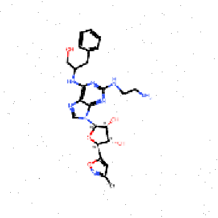 CCc1cc([C@H]2O[C@@H](n3cnc4c(NC(CO)Cc5ccccc5)nc(NCCN)nc43)[C@H](O)[C@@H]2O)on1